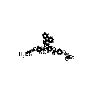 C=CC(=O)OCOc1ccc(C(=O)Oc2ccc(OC(=O)c3ccc(OCOC(=O)CC)cc3)cc2/C=N/N=C2c3ccccc3-c3ccccc32)cc1